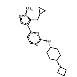 Cn1ncc(-c2ccnc(N[C@H]3CC[C@H](N4CCC4)CC3)n2)c1CC1CC1